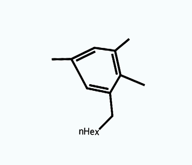 [CH2]CCCCCCc1cc(C)cc(C)c1C